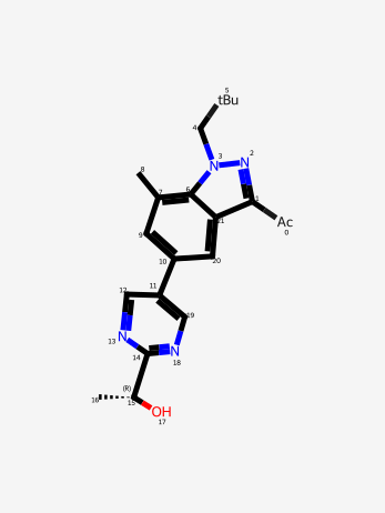 CC(=O)c1nn(CC(C)(C)C)c2c(C)cc(-c3cnc([C@@H](C)O)nc3)cc12